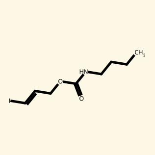 CCCCNC(=O)OCC=CI